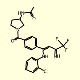 CC(=O)NC1CCN(C(=O)c2ccc(/C(=C/C(=N)C(F)(F)F)Nc3ccccc3Cl)cc2)C1